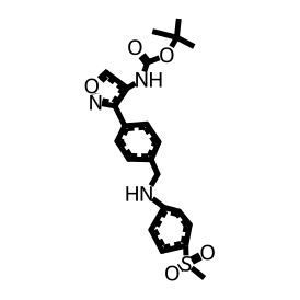 CC(C)(C)OC(=O)Nc1conc1-c1ccc(CNc2ccc(S(C)(=O)=O)cc2)cc1